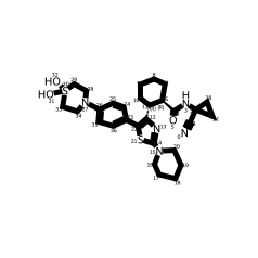 N#CC1(NC(=O)[C@@H]2CCCC[C@H]2c2nc(N3CCCCC3)sc2-c2ccc(N3CCS(O)(O)CC3)cc2)CC1